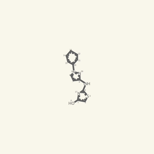 Oc1csc(Nc2ccn(-c3ccccc3)n2)n1